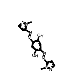 Cn1nccc1/N=N/c1cc(O)c(/N=N/c2ccnn2C)cc1O